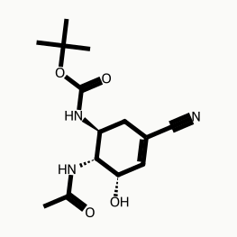 CC(=O)N[C@@H]1[C@@H](NC(=O)OC(C)(C)C)CC(C#N)=C[C@@H]1O